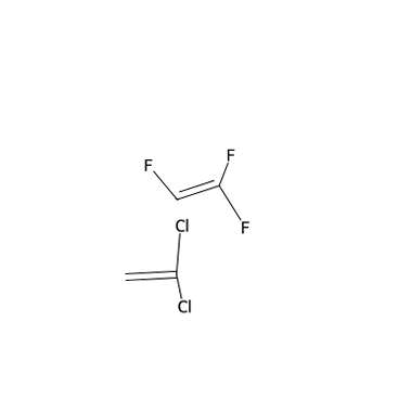 C=C(Cl)Cl.FC=C(F)F